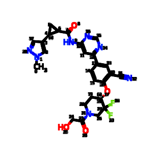 Cn1cc([C@H]2CC2C(=O)Nc2cc(-c3ccc(O[C@H]4CCN(C(=O)CO)CC4(F)F)c(C#N)c3)ncn2)cn1